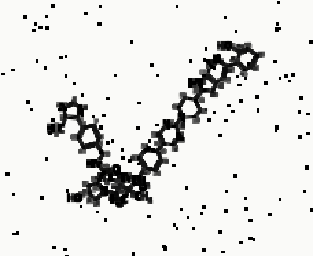 Cc1ncsc1-c1ccc(CNC(=O)[C@@H]2C[C@@H](O)CN2C(=O)C(C)(NC(=O)c2ccc(-c3cnc(N4CCC(c5cc6cc(-c7ccccc7O)nnc6[nH]5)CC4)nc3)cc2)C(C)(C)C)cc1